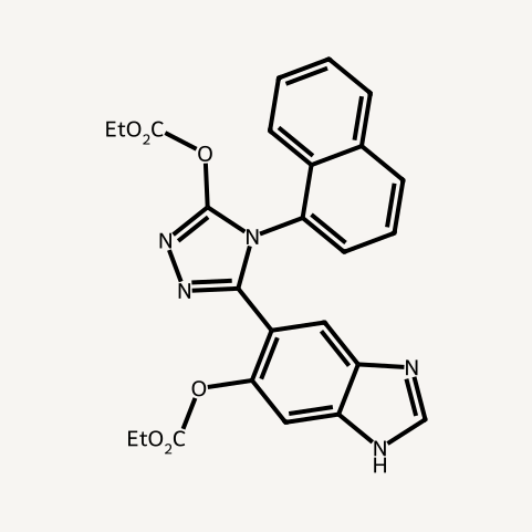 CCOC(=O)Oc1cc2[nH]cnc2cc1-c1nnc(OC(=O)OCC)n1-c1cccc2ccccc12